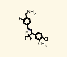 Cc1cc(C(/C=C/c2ccc(CN)c(F)c2)C(F)(F)F)ccc1Cl